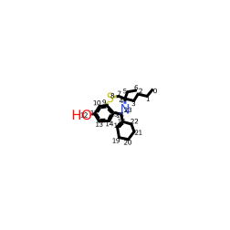 CCCCC1(CC)CSc2cc(O)ccc2C(C2=CCCCC2)=N1